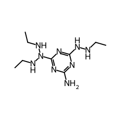 CCNNc1nc(N)nc(N(NCC)NCC)n1